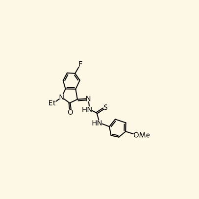 CCN1C(=O)/C(=N\NC(=S)Nc2ccc(OC)cc2)c2cc(F)ccc21